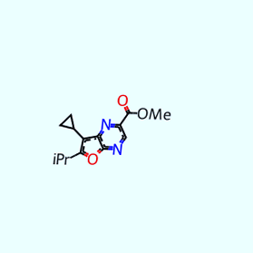 COC(=O)c1cnc2oc(C(C)C)c(C3CC3)c2n1